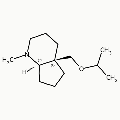 CC(C)OC[C@@]12CCC[C@H]1N(C)CCC2